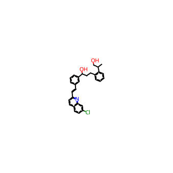 CC(CO)c1ccccc1CCC(O)c1cccc(C=Cc2ccc3ccc(Cl)cc3n2)c1